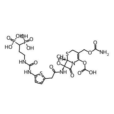 CO[C@@]1(NC(=O)Cc2ccc(NC(=O)NCCC(P(=O)(O)O)P(=O)(O)O)s2)C(=O)N2C(OC(=O)O)=C(COC(N)=O)CS[C@H]21